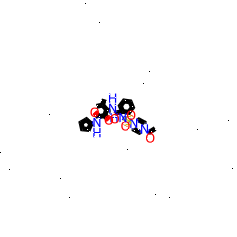 CC(=O)N1CCN(S(=O)(=O)NC2(C(=O)N[C@H](C(=O)C(=O)NC3CCCC3)C(C)C)CCCCC2)CC1